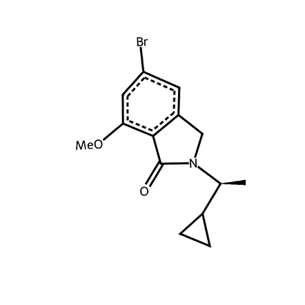 COc1cc(Br)cc2c1C(=O)N([C@@H](C)C1CC1)C2